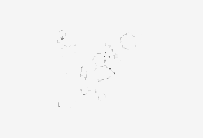 CCOC(=O)c1cnc2c(ccn2S(=O)(=O)c2ccc(C)cc2)c1N[C@H]1CC[C@H](CS(=O)(=O)Cl)CC1